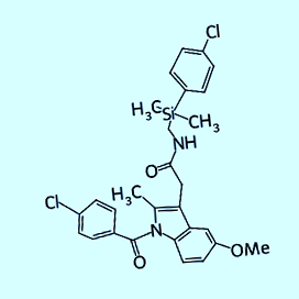 COc1ccc2c(c1)c(CC(=O)NC[Si](C)(C)c1ccc(Cl)cc1)c(C)n2C(=O)c1ccc(Cl)cc1